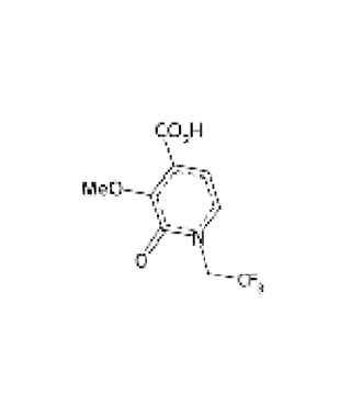 COc1c(C(=O)O)ccn(CC(F)(F)F)c1=O